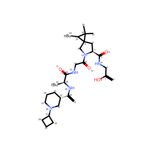 C=C(O)CNC(=O)[C@@H]1CC2(CN1C(=O)CNC(=O)[C@@H](NC(=C)[C@H]1CCCN(C3CCC3)C1)C(C)(C)C)C(CCCC)C2(C)C